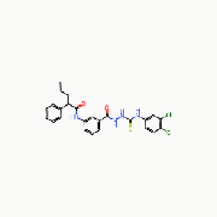 CCCC(C(=O)Nc1cccc(C(=O)NNC(=S)Nc2ccc(Cl)c(Cl)c2)c1)c1ccccc1